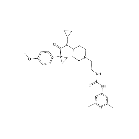 COc1ccc(C2(C(=O)N(C3CC3)C3CCN(CCNC(=O)Nc4cc(C)nc(C)c4)CC3)CC2)cc1